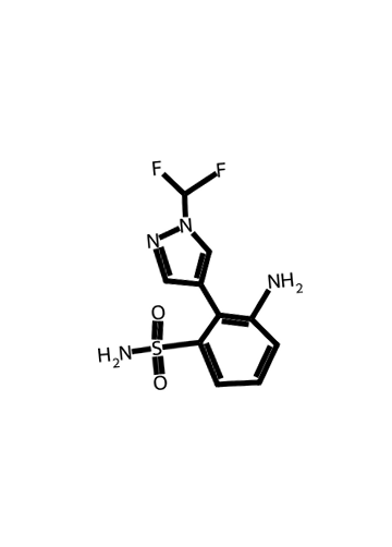 Nc1cccc(S(N)(=O)=O)c1-c1cnn(C(F)F)c1